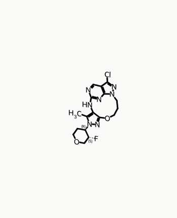 Cc1c2c(nn1[C@@H]1CCOC[C@H]1F)OCCCn1nc(Cl)c3cnc(nc31)N2